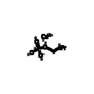 CCCCOP(=O)([O-])[O-].[Cd+2]